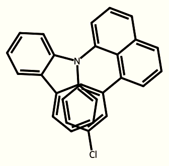 Clc1cccc(-c2cccc3cccc(-n4c5ccccc5c5ccccc54)c23)c1